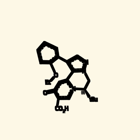 CCOc1ccccc1-c1cnn2c1-c1cc(=O)c(C(=O)O)cn1[C@H](C(C)(C)C)C2